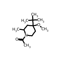 COC1(C(C)(C)C)CCN(C(C)=O)C(C)C1